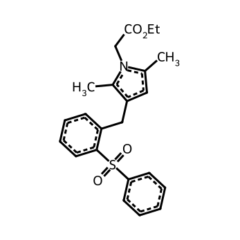 CCOC(=O)Cn1c(C)cc(Cc2ccccc2S(=O)(=O)c2ccccc2)c1C